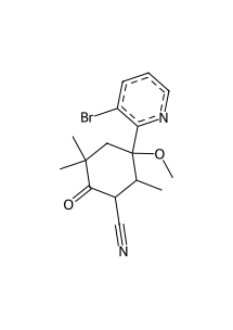 COC1(c2ncccc2Br)CC(C)(C)C(=O)C(C#N)C1C